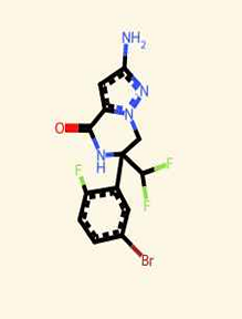 Nc1cc2n(n1)CC(c1cc(Br)ccc1F)(C(F)F)NC2=O